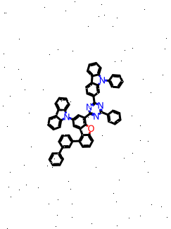 c1ccc(-c2cccc(-c3cccc4oc5c(-c6nc(-c7ccccc7)nc(-c7ccc8c9ccccc9n(-c9ccccc9)c8c7)n6)cc(-n6c7ccccc7c7ccccc76)cc5c34)c2)cc1